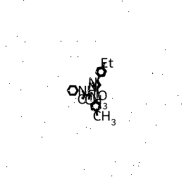 CCc1ccc(-c2cc3n(n2)CC(C)(C(=O)NC2CCCCC2)N(c2ccc(C)cc2)C3=O)cc1